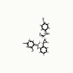 Cc1ncc(N(C)C[C@@]2(c3ccccc3)C[C@H]2C(=O)Nc2ccc(F)cc2)c(C)n1